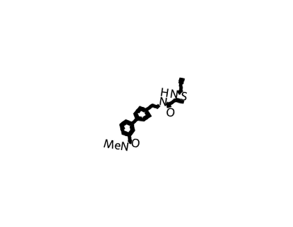 C#Cc1nc(C(=O)NCCc2ccc(-c3cccc(C(=O)NC)c3)cc2)cs1